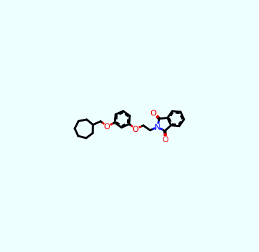 O=C1c2ccccc2C(=O)N1CCOc1cccc(OCC2CCCCCC2)c1